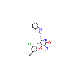 Cc1c(CCC2=Nc3ccccc3C2)[nH]c(=O)c(N(C)C)c1Oc1cc(Cl)cc(C#N)c1